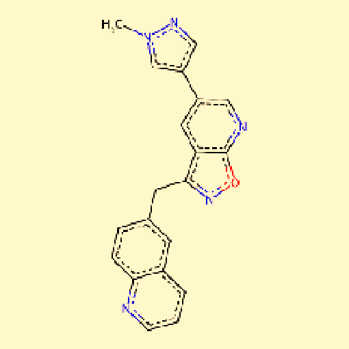 Cn1cc(-c2cnc3onc(Cc4ccc5ncccc5c4)c3c2)cn1